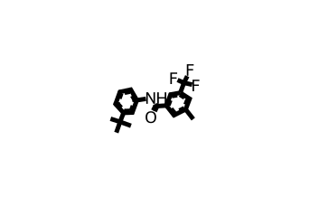 Cc1cc(C(=O)Nc2cccc(C(C)(C)C)c2)cc(C(F)(F)F)c1